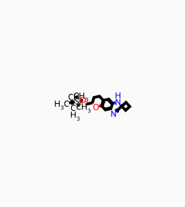 CC(C)(C)[Si](C)(C)OCC1CCc2cc(NC3(C#N)CCC3)ccc2O1